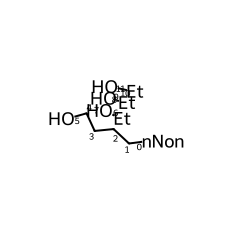 CCCCCCCCCCCCCO.CCO.CCO.CCO